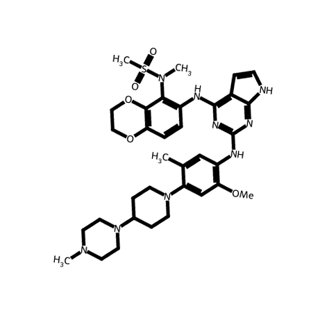 COc1cc(N2CCC(N3CCN(C)CC3)CC2)c(C)cc1Nc1nc(Nc2ccc3c(c2N(C)S(C)(=O)=O)OCCO3)c2cc[nH]c2n1